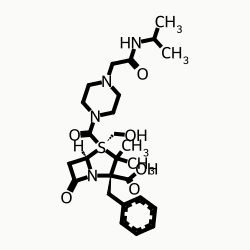 CC(C)NC(=O)CN1CCN(C(=O)[S@]2(CO)[C@@H]3CC(=O)N3[C@@](Cc3ccccc3)(C(=O)O)C2(C)C)CC1